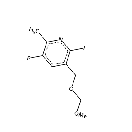 COCOCc1cc(F)c(C)nc1I